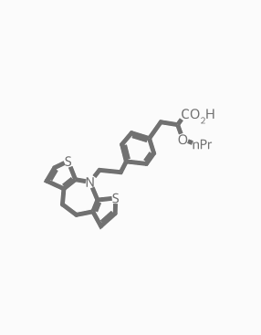 CCCOC(Cc1ccc(CCN2c3sccc3CCc3ccsc32)cc1)C(=O)O